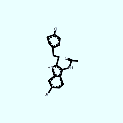 CC(=O)Bc1c(CCc2ccc(Cl)cc2)[nH]c2cc(Br)ccc12